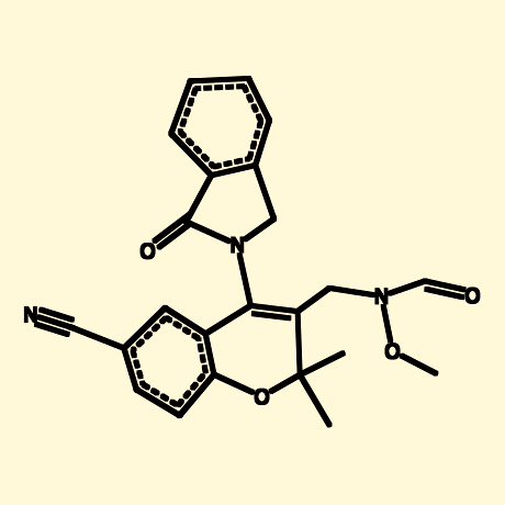 CON(C=O)CC1=C(N2Cc3ccccc3C2=O)c2cc(C#N)ccc2OC1(C)C